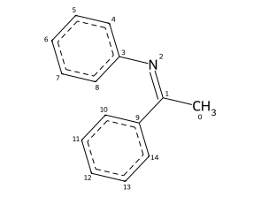 CC(=Nc1ccccc1)c1ccccc1